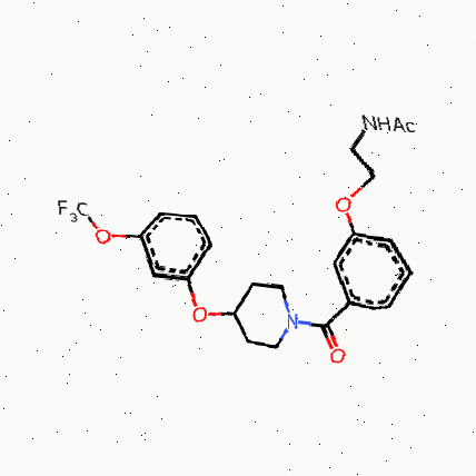 CC(=O)NCCOc1cccc(C(=O)N2CCC(Oc3cccc(OC(F)(F)F)c3)CC2)c1